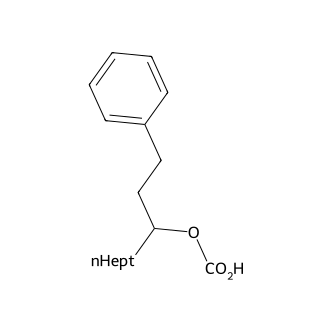 CCCCCCCC(CCc1ccccc1)OC(=O)O